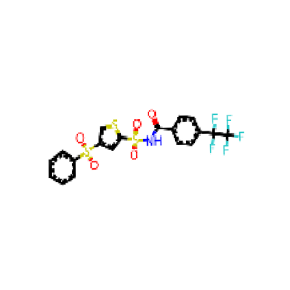 O=C(NS(=O)(=O)c1cc(S(=O)(=O)c2ccccc2)cs1)c1ccc(C(F)(F)C(F)(F)F)cc1